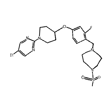 CCc1cnc(N2CCC(Oc3ccc(CN4CCN(S(C)(=O)=O)CC4)c(F)c3)CC2)nc1